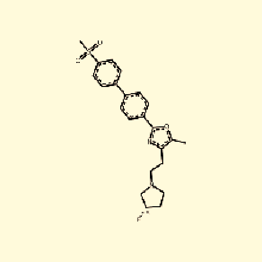 Cc1oc(-c2ccc(-c3ccc(S(C)(=O)=O)cc3)cc2)nc1CCN1CC[C@H](F)C1